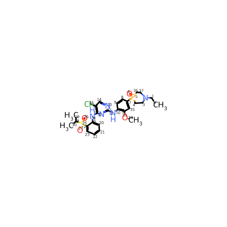 CCN1CCP(=O)(c2ccc(Nc3ncc(Cl)c(Nc4ccccc4S(=O)(=O)C(C)C)n3)c(OC)c2)CC1